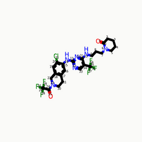 O=C1CCCCN1CCCNc1nc(Nc2cc3c(cc2Cl)CN(C(=O)C(F)(F)F)CC3)ncc1C(F)(F)F